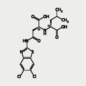 CC(C)C[C@H](N[C@@H](CC(=O)Nc1nc2cc(Cl)c(Cl)cc2s1)C(=O)O)C(=O)O